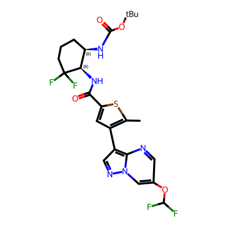 Cc1sc(C(=O)N[C@@H]2[C@H](NC(=O)OC(C)(C)C)CCCC2(F)F)cc1-c1cnn2cc(OC(F)F)cnc12